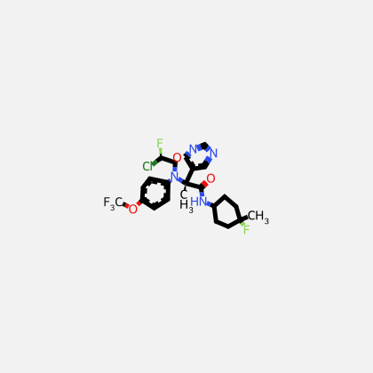 CC1(F)CCC(NC(=O)[C@](C)(c2cncnc2)N(C(=O)[C@H](F)Cl)c2ccc(OC(F)(F)F)cc2)CC1